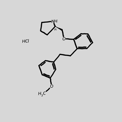 COc1cccc(CCc2ccccc2OC[C@H]2CCCN2)c1.Cl